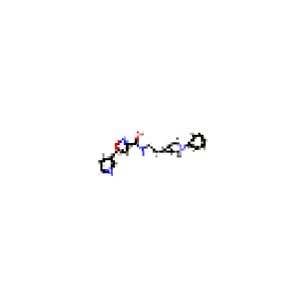 O=C(NCCC1C2CN(c3ccccc3)CC12)c1cc(-c2cccnc2)on1